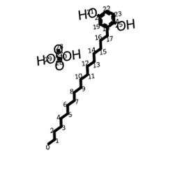 CCCCCCCCCCCCCCCCCCc1cc(O)ccc1O.O=S(=O)(O)O